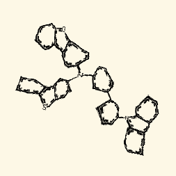 c1cc(-c2cccc(-n3c4ccccc4c4ccccc43)c2)cc(N(c2ccc3oc4ccccc4c3c2)c2ccc3sc4ccccc4c3c2)c1